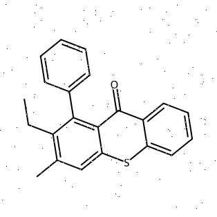 CCc1c(C)cc2sc3ccccc3c(=O)c2c1-c1ccccc1